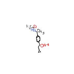 C[C@H](NC(=O)C(F)(F)F)c1ccc([C@H](O)CC2CC2)cc1